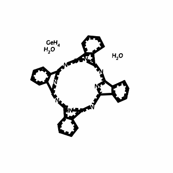 O.O.[GeH4].c1ccc2c(c1)-c1nc-2nc2[nH]c(nc3nc(nc4[nH]c(n1)c1ccccc41)-c1ccccc1-3)c1ccccc21